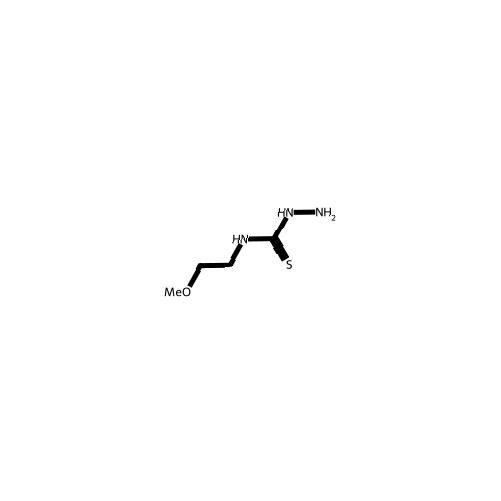 COCCNC(=S)NN